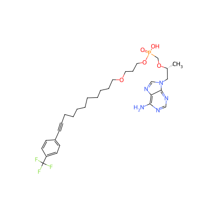 C[C@H](Cn1cnc2c(N)ncnc21)OCP(=O)(O)OCCCOCCCCCCCCCC#Cc1ccc(C(F)(F)F)cc1